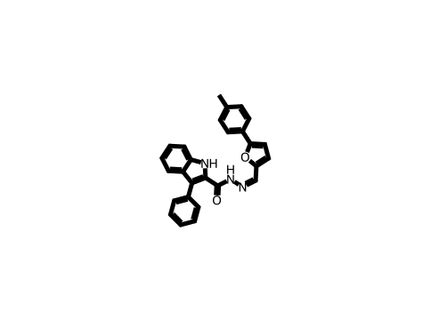 Cc1ccc(-c2ccc(/C=N\NC(=O)c3[nH]c4ccccc4c3-c3ccccc3)o2)cc1